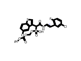 CC(C)OC(=O)OCOP(=O)(O)C(C(=O)N/C=C/c1cc(Cl)ccc1F)c1csc2ccc(Cl)cc12